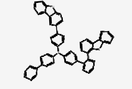 c1ccc(-c2ccc(N(c3ccc(-c4ccc5oc6ccccc6c5c4)cc3)c3ccc(-c4ccccc4-c4cccc5c4sc4ccccc45)cc3)cc2)cc1